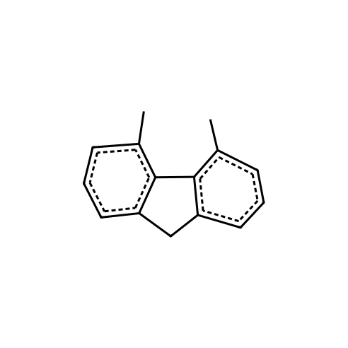 Cc1cccc2c1-c1c(C)cccc1C2